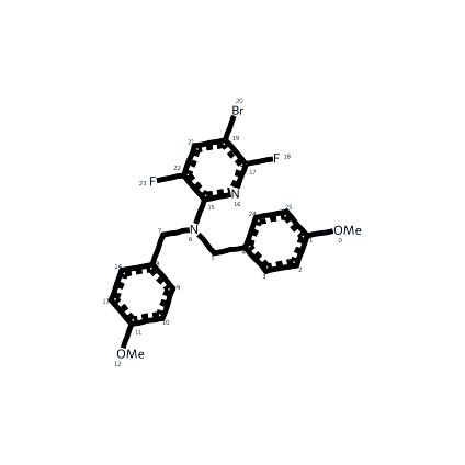 COc1ccc(CN(Cc2ccc(OC)cc2)c2nc(F)c(Br)cc2F)cc1